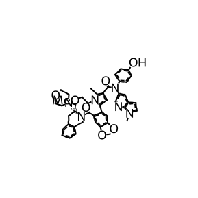 COCCn1c(-c2cc3c(cc2C(=O)N2Cc4ccccc4C[C@H]2CN2CCOCC2)OCO3)cc(C(=O)N(c2ccc(O)cc2)c2cnc3c(ccn3C)c2)c1C